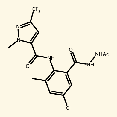 CC(=O)NNC(=O)c1cc(Cl)cc(C)c1NC(=O)c1cc(C(F)(F)F)nn1C